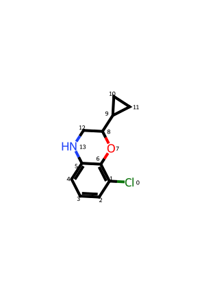 Clc1cccc2c1OC(C1CC1)CN2